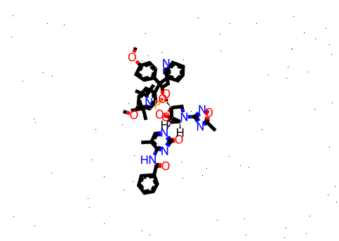 COc1ccc(C(OC[C@@]23CN(c4noc(C)n4)[C@@H]([C@H](n4cc(C)c(NC(=O)c5ccccc5)nc4=O)O2)[C@@H]3OP(OCCC#N)N(C(C)C)C(C)C)(c2ccccc2)c2ccc(OC)cc2)cc1